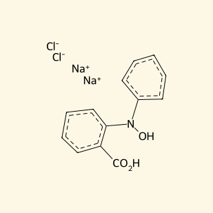 O=C(O)c1ccccc1N(O)c1ccccc1.[Cl-].[Cl-].[Na+].[Na+]